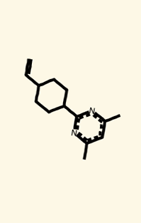 C=CC1CCC(c2nc(C)cc(C)n2)CC1